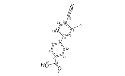 Cc1cc(-c2ccc(C(=O)O)cc2)ncc1C#N